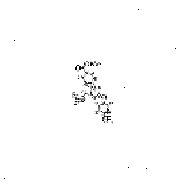 COC(=O)c1ccc(N2C[C@@H](Oc3ccc(C(F)(F)F)nc3)C[C@H]2COC(F)F)cc1